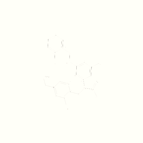 COCc1cnc(Cn2c(C)nc3c(C)cc(OCc4ccccc4C(=O)O)cc32)c(Cl)c1